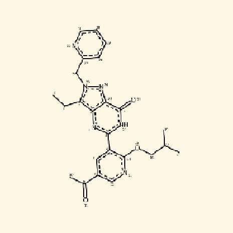 CCc1c2nc(-c3cc(C(C)=O)cnc3OCC(C)C)[nH]c(=O)c2nn1Cc1ccccn1